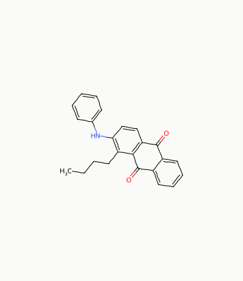 CCCCc1c(Nc2ccccc2)ccc2c1C(=O)c1ccccc1C2=O